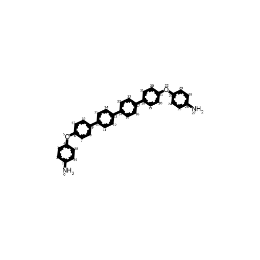 Nc1ccc(Oc2ccc(-c3ccc(-c4ccc(-c5ccc(Oc6ccc(N)cc6)cc5)cc4)cc3)cc2)cc1